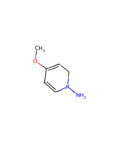 COC1=CCN(N)C=C1